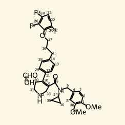 COc1ccc(CN(C(=O)C2=C(c3ccc(CCCOc4c(F)ccc(F)c4F)cc3)CCNC2)C2CC2)cc1OC.O=CO